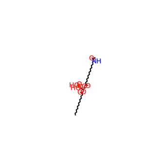 CCCCCCCCCCCCCC(=O)O[C@H](COC(=O)CCCCCCCCCCCCCNC(C)=O)COP(=O)(O)O